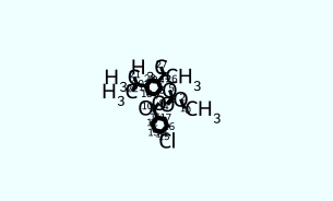 CCOC(=O)Oc1c(OC(=O)c2ccc(Cl)cc2)cc(C(C)C)cc1C(C)C